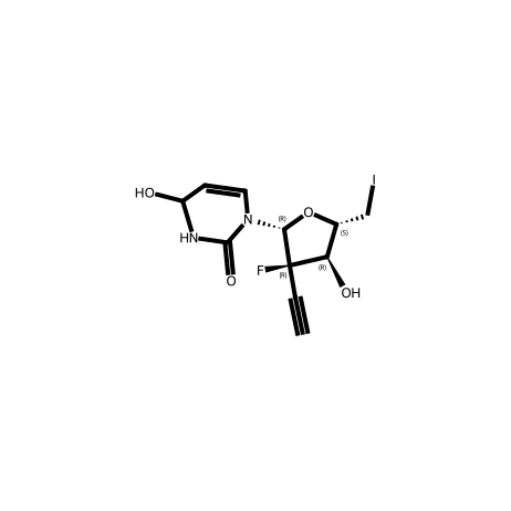 C#C[C@@]1(F)[C@H](O)[C@@H](CI)O[C@H]1N1C=CC(O)NC1=O